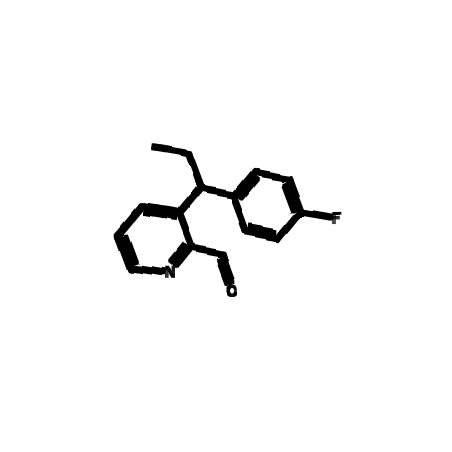 CCC(c1ccc(F)cc1)c1cccnc1C=O